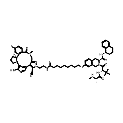 CN[C@@H](C)C(=O)N[C@H](C(=O)N1Cc2cc(OCCCCCCCCC(=O)NCCn3nc4c(c3C#N)-c3cnc(N)c(c3)N3CCC[C@@H]3c3cc(F)ccc3C(=O)N(C)C4)ccc2C[C@H]1C(=O)N[C@@H]1CCCc2ccccc21)C(C)(C)C